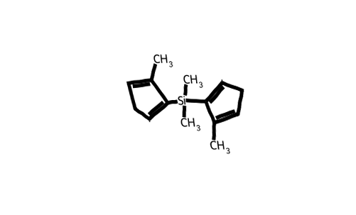 CC1=CC[C]=C1[Si](C)(C)C1=[C]CC=C1C